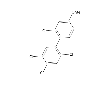 COc1ccc(-c2cc(Cl)c(Cl)cc2Cl)c(Cl)c1